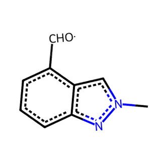 Cn1cc2c([C]=O)cccc2n1